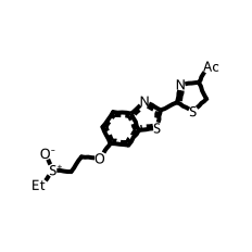 CC[S+]([O-])CCOc1ccc2nc(C3=NC(C(C)=O)CS3)sc2c1